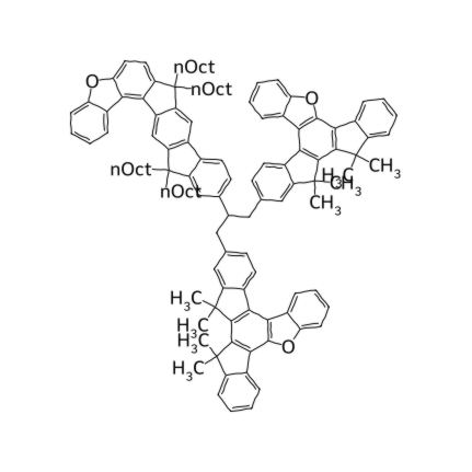 CCCCCCCCC1(CCCCCCCC)c2cc(C(Cc3ccc4c(c3)C(C)(C)c3c5c(c6oc7ccccc7c6c3-4)-c3ccccc3C5(C)C)Cc3ccc4c(c3)C(C)(C)c3c5c(c6oc7ccccc7c6c3-4)-c3ccccc3C5(C)C)ccc2-c2cc3c(cc21)-c1c(ccc2oc4ccccc4c12)C3(CCCCCCCC)CCCCCCCC